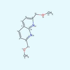 COCc1ccc2ccc(COC)nc2n1